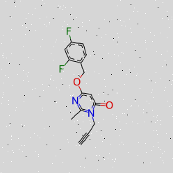 C#CCn1c(C)nc(OCc2ccc(F)cc2F)cc1=O